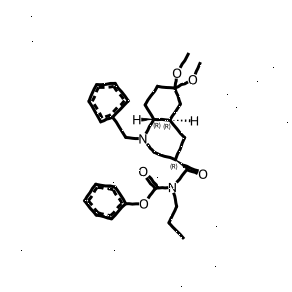 CCCN(C(=O)Oc1ccccc1)C(=O)[C@@H]1C[C@@H]2CC(OC)(OC)CC[C@H]2N(Cc2ccccc2)C1